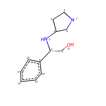 OC[C@@H](NC1CC[N]C1)c1ccccc1